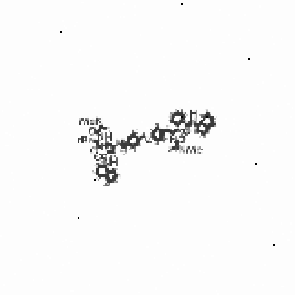 CNC(C)C(=O)NC(Cc1ccc(OCc2ccc(C(=O)N[C@H]3C[C@@H](C(=O)N[C@@H]4CCCc5ccccc54)N(C(=O)C(NC(=O)C(C)NC)C(C)(C)C)C3)cc2)cc1)C(=O)[C@@H]1CCCC[C@H]1C(=O)N[C@@H]1CCCc2ccccc21